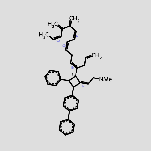 C=CC/C(=C\C/C=C\C=C/C(=C)C(=C)/C=C\C)[C@H]1/C(=C\CNC)C(c2ccc(-c3ccccc3)cc2)C1c1ccccc1